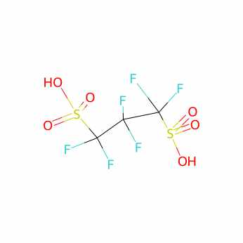 O=S(=O)(O)C(F)(F)C(F)(F)C(F)(F)S(=O)(=O)O